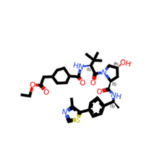 CCOC(=O)CC1CCC(C(=O)N[C@H](C(=O)N2C[C@H](O)C[C@H]2C(=O)N[C@@H](C)c2ccc(-c3scnc3C)cc2)C(C)(C)C)CC1